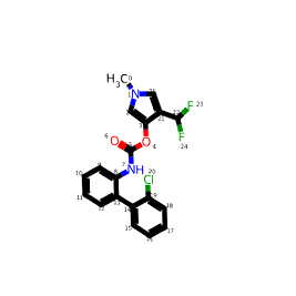 Cn1cc(OC(=O)Nc2ccccc2-c2ccccc2Cl)c(C(F)F)c1